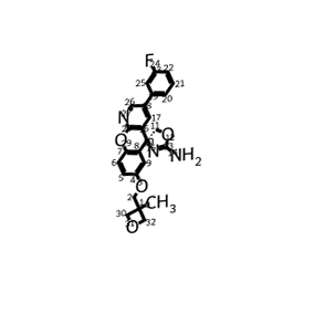 CC1(COc2ccc3c(c2)[C@@]2(COC(N)=N2)c2cc(-c4cccc(F)c4)cnc2O3)COC1